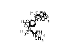 Cc1cc(B2OC(C)(C)C(C)(C)O2)ccc1C(=O)N(C)CCN(C)C